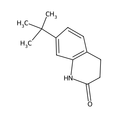 CC(C)(C)c1ccc2c(c1)NC(=O)CC2